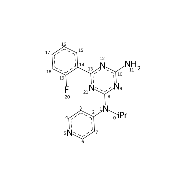 CC(C)N(c1ccncc1)c1nc(N)nc(-c2ccccc2F)n1